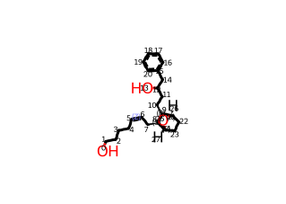 OCCCC/C=C\C[C@H]1[C@@H](CCC(O)Cc2ccccc2)[C@H]2CC[C@@H]1O2